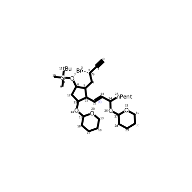 C#C[C@@H](Br)CC1C(O[Si](C)(C)C(C)(C)C)CC(OC2CCCCO2)C1/C=C/C(CCCCC)OC1CCCCO1